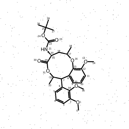 COc1cccc(C2c3cccc(OC)c3OC(C)C[C@H](NC(=O)OC(C)(C)C)C(=O)OC2C)c1OC